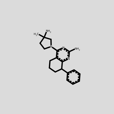 CC1(N)CCN(c2nc(N)nc3c2CCCC3c2ccccc2)C1